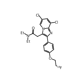 CCN(CC)C(=O)Cc1c(-c2ccc(OCC[18F])cc2)nc2c(Cl)cc(Cl)cn12